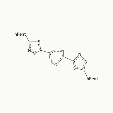 CCCCCc1nnc(-c2ccc(-c3nnc(CCCCC)s3)cc2)s1